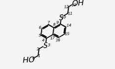 OCCSc1cccc2c(SCCO)cccc12